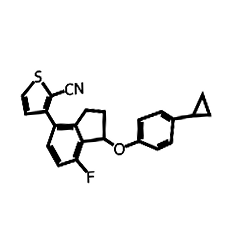 N#Cc1sccc1-c1ccc(F)c2c1CCC2Oc1ccc(C2CC2)cc1